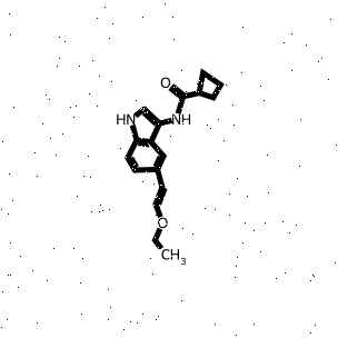 CCOC=Cc1ccc2[nH]cc(NC(=O)C3CCC3)c2c1